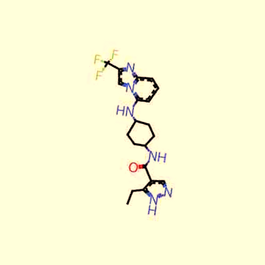 CCc1[nH]ncc1C(=O)NC1CCC(Nc2cccc3nc(C(F)(F)F)cn23)CC1